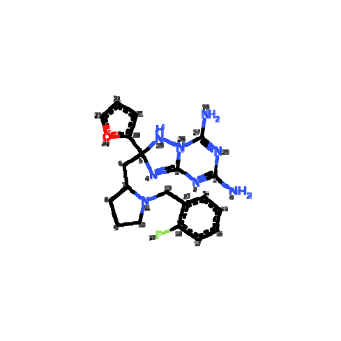 NC1=NC2=NC(CC3CCCN3Cc3ccccc3F)(c3ccco3)NN2C(N)=N1